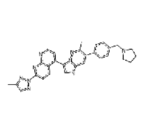 Cc1cnn(-c2ccc3c(-c4cnc5cc(-c6ccc(CN7CCCC7)cc6)c(C)nn45)ccnc3n2)n1